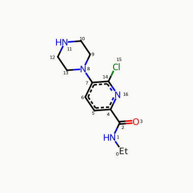 CCNC(=O)c1ccc(N2CCNCC2)c(Cl)n1